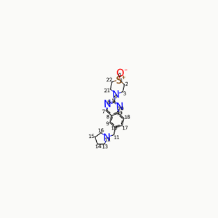 [O-][S+]1CCN(c2ncc3cc(CN4CCCC4)ccc3n2)CC1